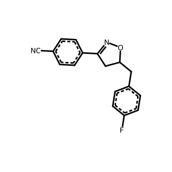 N#Cc1ccc(C2=NOC(Cc3ccc(F)cc3)C2)cc1